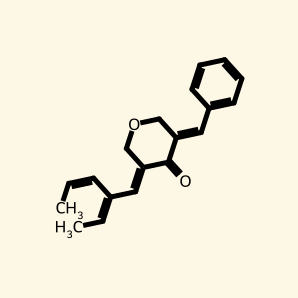 C\C=C/C(=C\C)/C=C1\COC/C(=C\c2ccccc2)C1=O